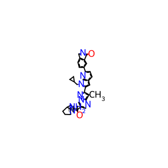 Cc1c(-c2cc3ccc(-c4ccc5c(c4)C(=O)N=C5)nc3n2CC2CC2)nn2cc(C(=O)N3CC4CCC3[C@@H]4N)cnc12